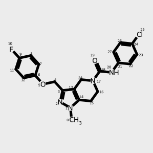 Cn1nc(COc2ccc(F)cc2)c2c1CCN(C(=O)Nc1ccc(Cl)cc1)C2